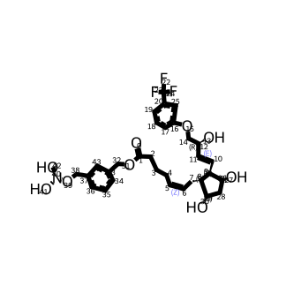 O=C(CCC/C=C\C[C@@H]1[C@@H](/C=C/[C@@H](O)COc2cccc(C(F)(F)F)c2)[C@H](O)C[C@@H]1O)OCc1cccc(CON(O)O)c1